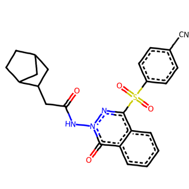 N#Cc1ccc(S(=O)(=O)c2nn(NC(=O)CC3CC4CCC3C4)c(=O)c3ccccc23)cc1